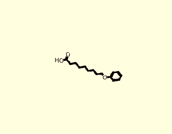 O=C(O)CCCCCCCCOc1ccccc1